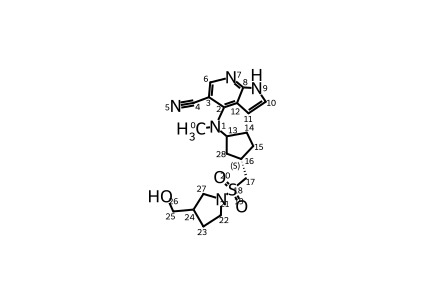 CN(c1c(C#N)cnc2[nH]ccc12)C1CC[C@H](CS(=O)(=O)N2CCC(CO)C2)C1